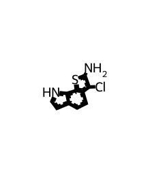 Nc1sc2c(ccc3cc[nH]c32)c1Cl